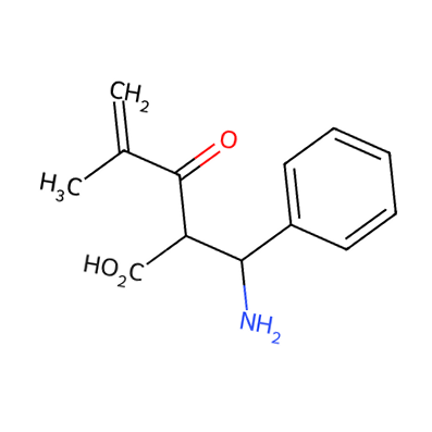 C=C(C)C(=O)C(C(=O)O)C(N)c1ccccc1